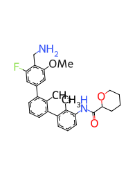 COc1cc(-c2cccc(-c3cccc(NC(=O)C4CCCCO4)c3C)c2C)cc(F)c1CN